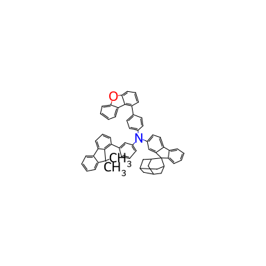 CC1(C)c2ccccc2-c2cccc(-c3cccc(N(c4ccc(-c5cccc6oc7ccccc7c56)cc4)c4ccc5c(c4)C4(c6ccccc6-5)C5CC6CC(C5)CC4C6)c3)c21